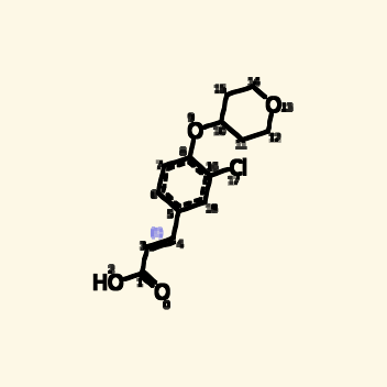 O=C(O)/C=C/c1ccc(OC2CCOCC2)c(Cl)c1